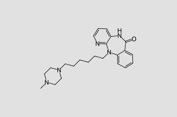 CN1CCN(CCCCCCN2c3ccccc3C(=O)Nc3cccnc32)CC1